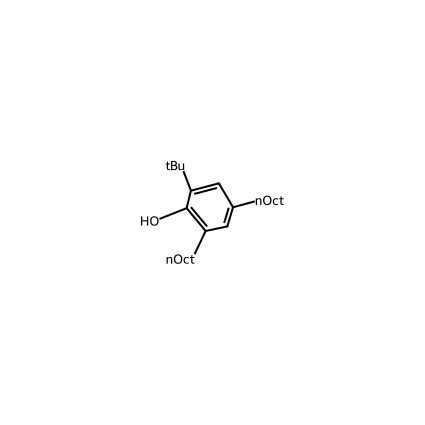 CCCCCCCCc1cc(CCCCCCCC)c(O)c(C(C)(C)C)c1